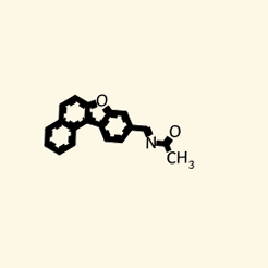 CC(=O)/N=C/c1ccc2c(c1)oc1ccc3ccccc3c12